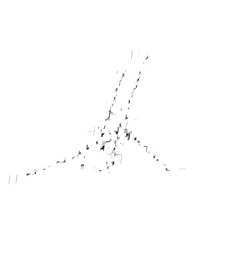 O=C(CN(CC(=O)NCCOCCOCCOCCO)C(=O)CN(CC(=O)N(CC(=O)NCCOCCOCCOCCO)CC(=O)NCCOCCOCCOCCO)C(=O)COCC(CC(F)(F)F)(CC(F)(F)F)CC(F)(F)F)NCCOCCOCCOCCO